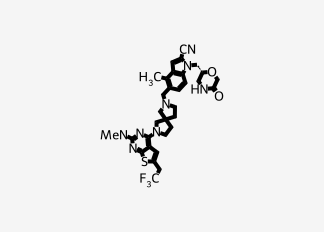 CNc1nc(N2CCC3(CCN(Cc4ccc5c(cc(C#N)n5C[C@H]5CNC(=O)CO5)c4C)C3)C2)c2cc(CC(F)(F)F)sc2n1